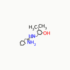 CC(C)c1cc(O)cc(CNCC[C@@H](N)Cc2ccccc2)c1